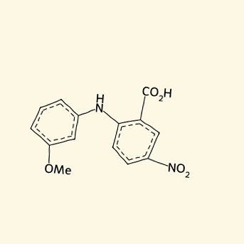 COc1cccc(Nc2ccc([N+](=O)[O-])cc2C(=O)O)c1